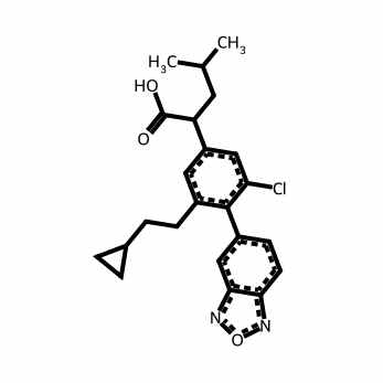 CC(C)CC(C(=O)O)c1cc(Cl)c(-c2ccc3nonc3c2)c(CCC2CC2)c1